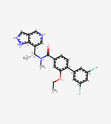 CCOc1cc(C(=O)N(C)[C@H](C)c2cncc3cn[nH]c23)ccc1-c1cc(F)cc(F)c1